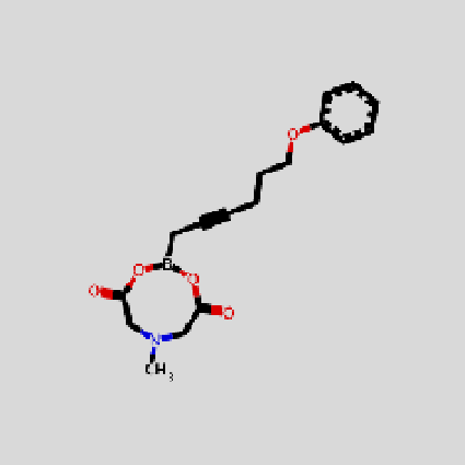 CN1CC(=O)OB(CC#CCCCOc2ccccc2)OC(=O)C1